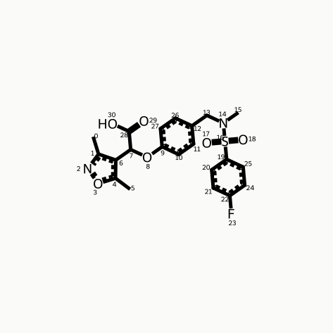 Cc1noc(C)c1C(Oc1ccc(CN(C)S(=O)(=O)c2ccc(F)cc2)cc1)C(=O)O